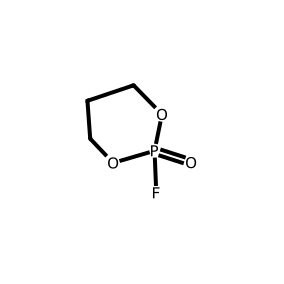 O=P1(F)OCCCO1